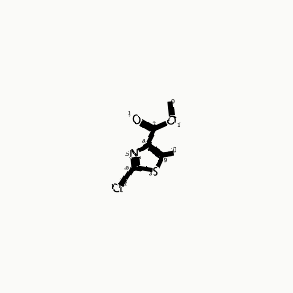 COC(=O)c1nc(Cl)sc1C